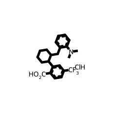 CN(C)c1ccccc1CC1CCCCC1c1cc(C(F)(F)F)ccc1C(=O)O.Cl